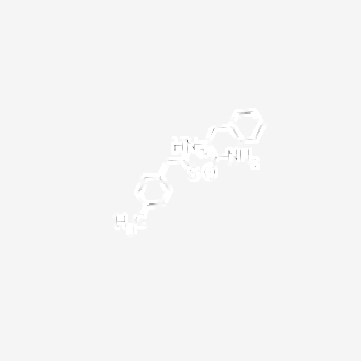 Cc1ccc(CC(=S)N[C@@H](Cc2ccccc2)C(N)=O)cc1